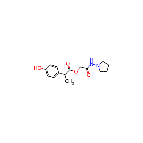 CC(C(=O)OCC(=O)NN1CCCC1)c1ccc(O)cc1